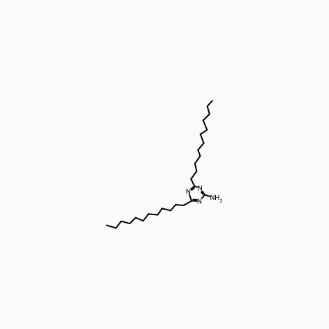 CCCCCCCCCCCCc1nc(N)nc(CCCCCCCCCCCC)n1